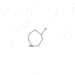 ClC1CCCNCC1